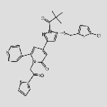 CC(C)(C)C(=O)n1nc(-c2cc(-c3ccncc3)n(CC(=O)c3cccs3)c(=O)c2)cc1SCc1ccc(Cl)s1